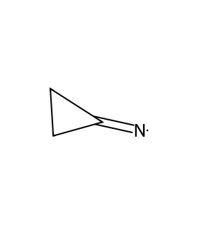 [N]=C1CC1